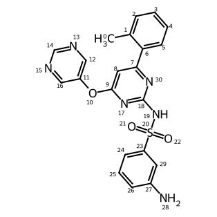 Cc1ccccc1-c1cc(Oc2cncnc2)nc(NS(=O)(=O)c2cccc(N)c2)n1